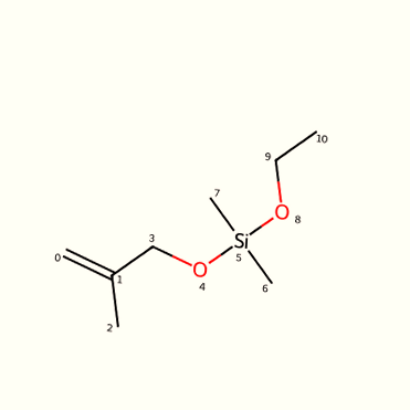 C=C(C)CO[Si](C)(C)OCC